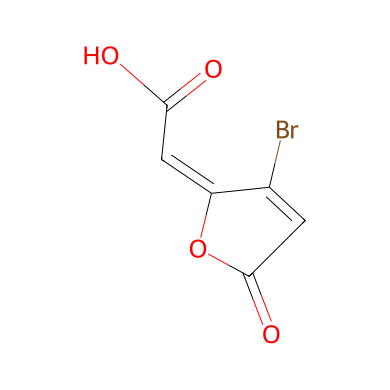 O=C(O)C=C1OC(=O)C=C1Br